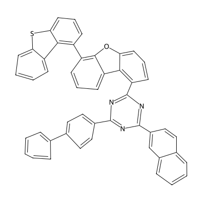 c1ccc(-c2ccc(-c3nc(-c4ccc5ccccc5c4)nc(-c4cccc5oc6c(-c7cccc8sc9ccccc9c78)cccc6c45)n3)cc2)cc1